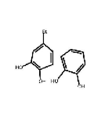 CCc1ccc(O)c(O)c1.Oc1ccccc1O